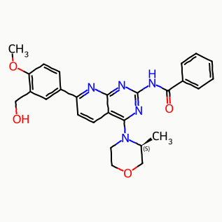 COc1ccc(-c2ccc3c(N4CCOC[C@@H]4C)nc(NC(=O)c4ccccc4)nc3n2)cc1CO